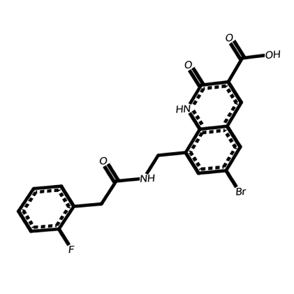 O=C(Cc1ccccc1F)NCc1cc(Br)cc2cc(C(=O)O)c(=O)[nH]c12